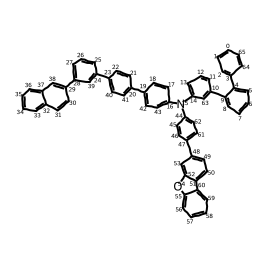 c1ccc(-c2ccccc2-c2cccc(N(c3ccc(-c4ccc(-c5cccc(-c6ccc7ccccc7c6)c5)cc4)cc3)c3ccc(-c4ccc5c(c4)oc4ccccc45)cc3)c2)cc1